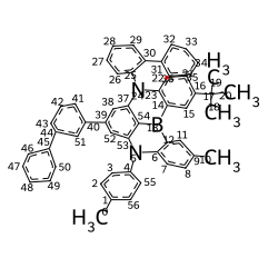 Cc1ccc(N2c3ccc(C)cc3B3c4cc(C(C)(C)C)ccc4N(c4ccccc4-c4ccccc4)c4cc(-c5cccc(-c6ccccc6)c5)cc2c43)cc1